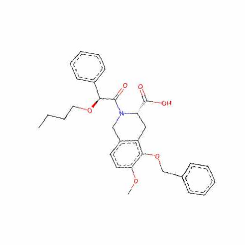 CCCCO[C@H](C(=O)N1Cc2ccc(OC)c(OCc3ccccc3)c2C[C@H]1C(=O)O)c1ccccc1